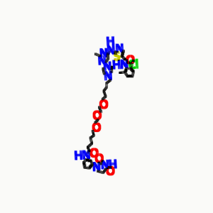 Cc1nc(Nc2ncc(C(=O)Nc3c(C)cccc3Cl)s2)cc(N2CCN(CCCCCCOCCOCCOCCCCCC(=O)Nc3cccc(N4CCC(=O)NC4=O)c3)CC2)n1